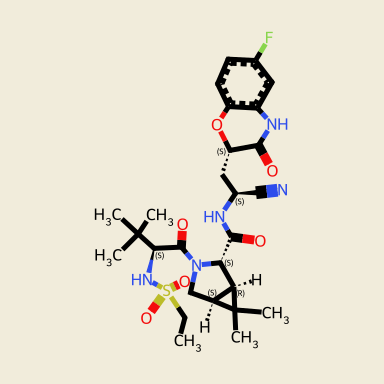 CCS(=O)(=O)N[C@H](C(=O)N1C[C@H]2[C@@H]([C@H]1C(=O)N[C@H](C#N)C[C@@H]1Oc3ccc(F)cc3NC1=O)C2(C)C)C(C)(C)C